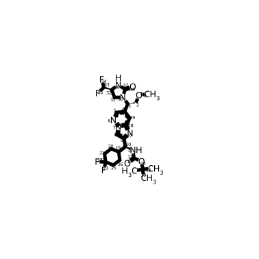 COC[C@H](c1cnn2cc([C@@H](NC(=O)OC(C)(C)C)C3CCC(F)(F)CC3)nc2c1)N1C[C@@H](C(F)F)NC1=O